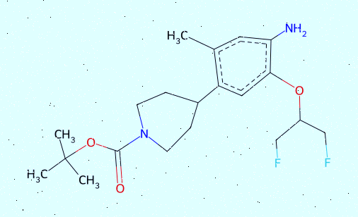 Cc1cc(N)c(OC(CF)CF)cc1C1CCN(C(=O)OC(C)(C)C)CC1